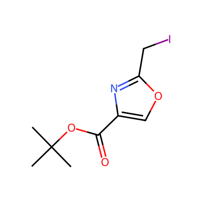 CC(C)(C)OC(=O)c1coc(CI)n1